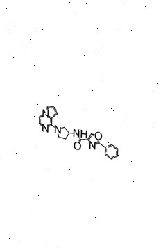 O=C(NC1CCN(c2nccn3cccc23)C1)c1coc(-c2ccccc2)n1